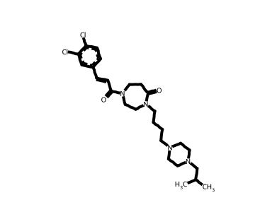 CC(C)CN1CCN(CCCCN2CCN(C(=O)/C=C/c3ccc(Cl)c(Cl)c3)CCC2=O)CC1